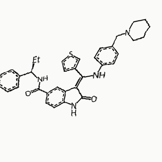 CC[C@@H](NC(=O)c1ccc2c(c1)/C(=C(/Nc1ccc(CN3CCCCC3)cc1)c1ccsc1)C(=O)N2)c1ccccc1